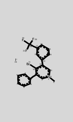 C[n+]1cc(-c2ccccc2)c(Br)c(-c2cccc(C(F)(F)F)c2)c1.[I-]